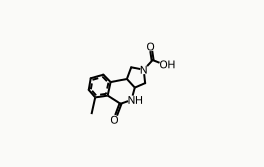 Cc1cccc2c1C(=O)NC1CN(C(=O)O)CC21